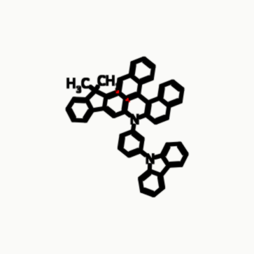 CC1(C)c2ccccc2-c2cc(N(c3cccc(-n4c5ccccc5c5ccccc54)c3)c3ccc4ccccc4c3-c3cccc4ccccc34)ccc21